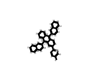 Cc1ccc(-c2ccc3c(-c4ccc5ccccc5c4)c4ccccc4c(-c4ccc5ccccc5c4)c3c2)nc1